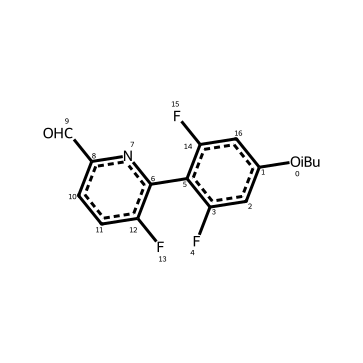 CC(C)COc1cc(F)c(-c2nc(C=O)ccc2F)c(F)c1